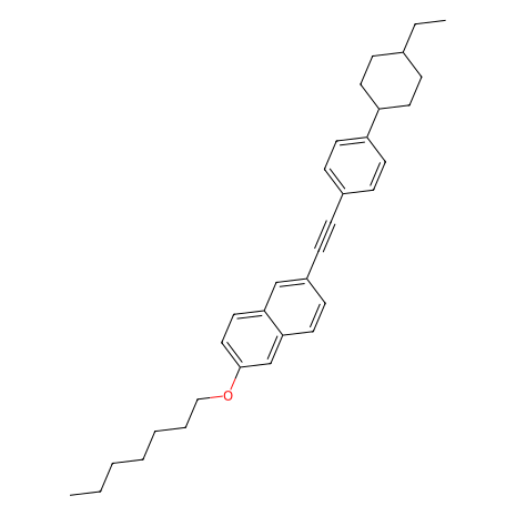 CCCCCCCOc1ccc2cc(C#Cc3ccc(C4CCC(CC)CC4)cc3)ccc2c1